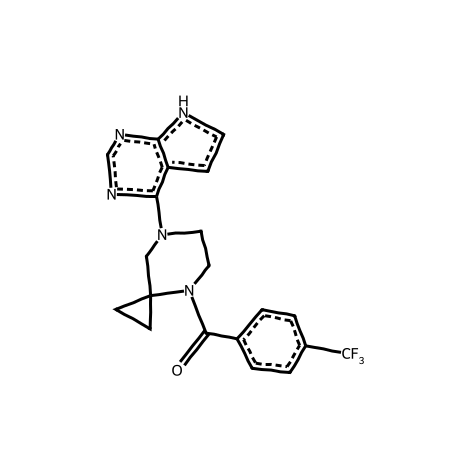 O=C(c1ccc(C(F)(F)F)cc1)N1CCN(c2ncnc3[nH]ccc23)CC12CC2